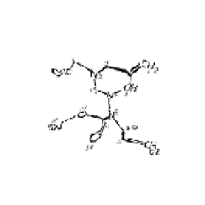 C=CCN(CC=O)SN(O)N(CC=C)C(=O)OC(C)(C)C